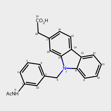 CC(=O)Nc1cccc(Cn2c3ccccc3c3ccc(CC(=O)O)cc32)c1